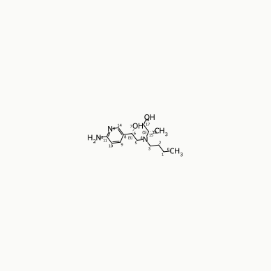 CCCCN(C[C@@H](O)c1ccc(N)nc1)[C@@H](C)CO